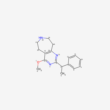 COc1nc(C(C)c2ccccc2)nc2c1CCNCC2